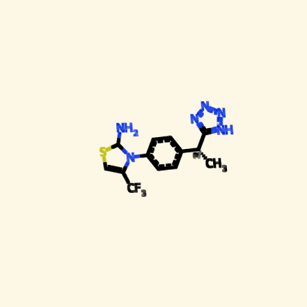 C[C@H](c1ccc(N2C(C(F)(F)F)=CSC2N)cc1)c1nnn[nH]1